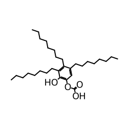 CCCCCCCCc1cc(OC(=O)O)c(O)c(CCCCCCCC)c1CCCCCCCC